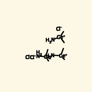 [CH3][Ge+]([CH3])[NH2].[CH3][Ge+]([CH3])[NH2].[CH3][Ge+]([CH3])[NH2].[Cl-].[Cl-].[Cl-]